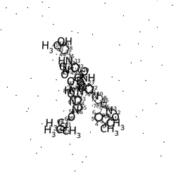 CC(C)c1ccccc1[C@@H]1COCCN1C1CC2(CCN(c3ccc(C(=O)NS(=O)(=O)c4ccc(NC[C@H]5CC[C@](C)(O)CC5)c([N+](=O)[O-])c4)c(N4c5cc6ccn(COCC[Si](C)(C)C)c6nc5O[C@H]5COCC[C@@H]54)c3)CC2)C1